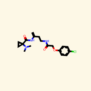 C=C(CCNC(=O)COc1ccc(Cl)cc1)NC(=O)C1(N(C)C)CC1